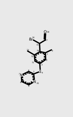 Cc1cc(Sc2cnccn2)cc(C)c1C(Br)C=O